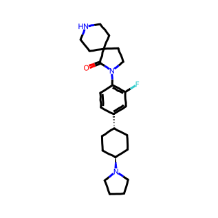 O=C1N(c2ccc([C@H]3CC[C@H](N4CCCC4)CC3)cc2F)CCC12CCNCC2